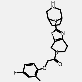 Cc1cc(F)ccc1OCC(=O)N1CCc2nc(N3C4CCC3CNC4)sc2C1